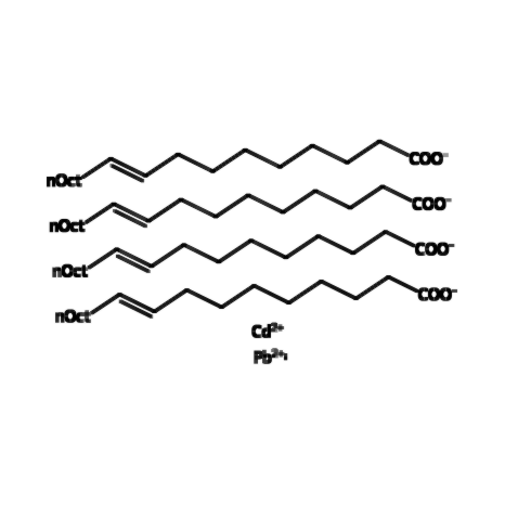 CCCCCCCCC=CCCCCCCCC(=O)[O-].CCCCCCCCC=CCCCCCCCC(=O)[O-].CCCCCCCCC=CCCCCCCCC(=O)[O-].CCCCCCCCC=CCCCCCCCC(=O)[O-].[Cd+2].[Pb+2]